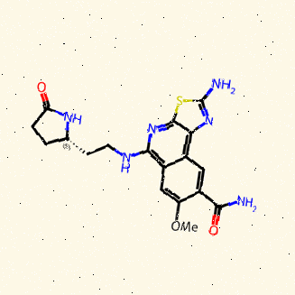 COc1cc2c(NCC[C@@H]3CCC(=O)N3)nc3sc(N)nc3c2cc1C(N)=O